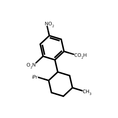 CC1CCC(C(C)C)C(c2c(C(=O)O)cc([N+](=O)[O-])cc2[N+](=O)[O-])C1